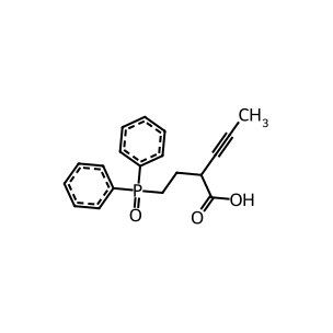 CC#CC(CCP(=O)(c1ccccc1)c1ccccc1)C(=O)O